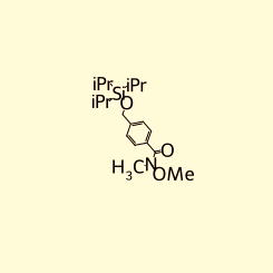 CON(C)C(=O)c1ccc(CO[Si](C(C)C)(C(C)C)C(C)C)cc1